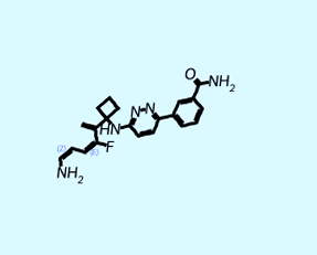 C=C(/C(F)=C\C=C/N)C1(Nc2ccc(-c3cccc(C(N)=O)c3)nn2)CCC1